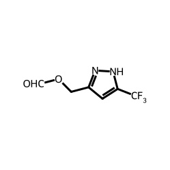 O=COCc1cc(C(F)(F)F)[nH]n1